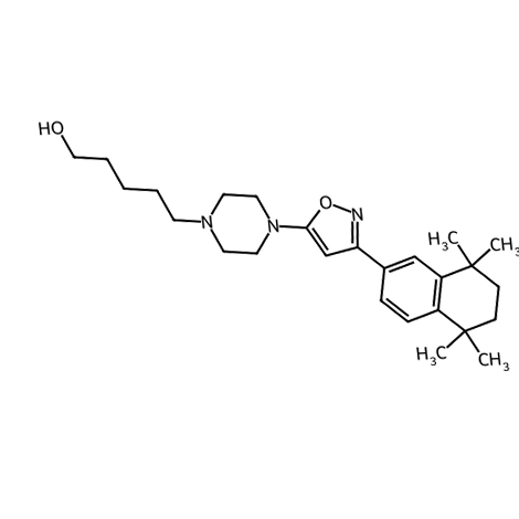 CC1(C)CCC(C)(C)c2cc(-c3cc(N4CCN(CCCCCO)CC4)on3)ccc21